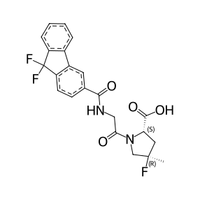 C[C@@]1(F)C[C@@H](C(=O)O)N(C(=O)CNC(=O)c2ccc3c(c2)-c2ccccc2C3(F)F)C1